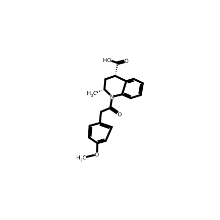 COc1ccc(CC(=O)N2c3ccccc3[C@@H](C(=O)O)C[C@H]2C)cc1